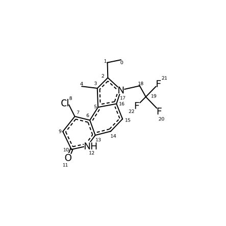 CCc1c(C)c2c3c(Cl)cc(=O)[nH]c3ccc2n1CC(F)(F)F